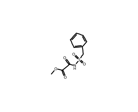 COC(=O)C(=O)NS(=O)(=O)Cc1ccccc1